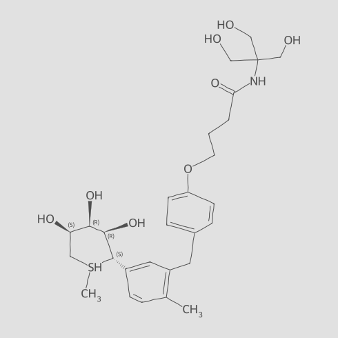 Cc1ccc([C@H]2[C@H](O)[C@H](O)[C@H](O)C[SH]2C)cc1Cc1ccc(OCCCC(=O)NC(CO)(CO)CO)cc1